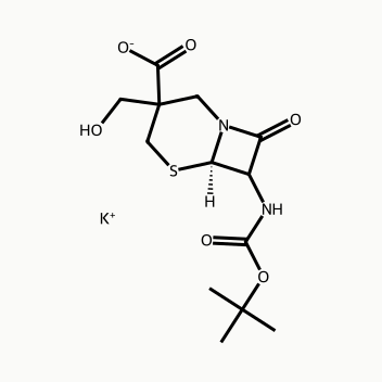 CC(C)(C)OC(=O)NC1C(=O)N2CC(CO)(C(=O)[O-])CS[C@H]12.[K+]